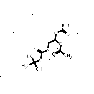 CC(=O)OC(CNC(=O)OC(C)(C)C)OC(C)=O